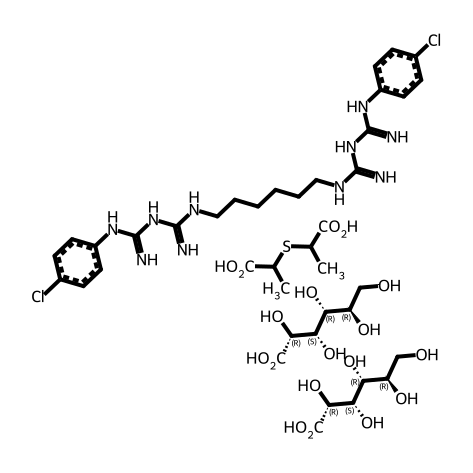 CC(SC(C)C(=O)O)C(=O)O.N=C(NCCCCCCNC(=N)NC(=N)Nc1ccc(Cl)cc1)NC(=N)Nc1ccc(Cl)cc1.O=C(O)[C@H](O)[C@@H](O)[C@H](O)[C@H](O)CO.O=C(O)[C@H](O)[C@@H](O)[C@H](O)[C@H](O)CO